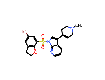 CN1CC=C(c2cn(S(=O)(=O)c3cc(Br)cc4c3OCC4)c3ncccc23)CC1